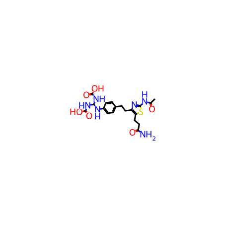 CC(=O)Nc1nc(CCc2ccc(NC(NC(=O)O)NC(=O)O)cc2)c(CCC(N)=O)s1